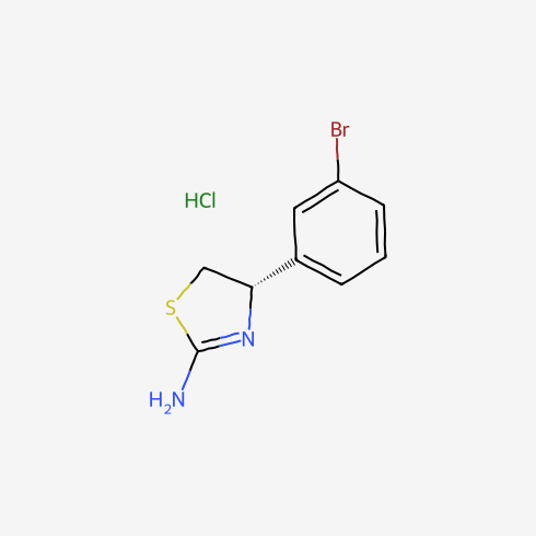 Cl.NC1=N[C@@H](c2cccc(Br)c2)CS1